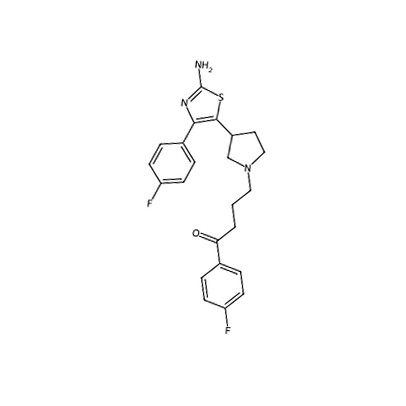 Nc1nc(-c2ccc(F)cc2)c(C2CCN(CCCC(=O)c3ccc(F)cc3)C2)s1